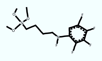 CO[Si](CCCCN(F)c1cc(F)c(F)c(F)c1F)(OC)OC